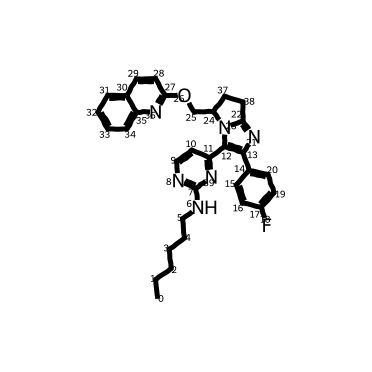 CCCCCCNc1nccc(-c2c(-c3ccc(F)cc3)nc3n2C(COc2ccc4ccccc4n2)CC3)n1